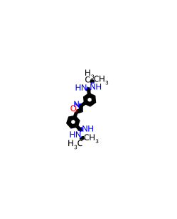 CC(C)NC(=N)c1cccc(-c2cc(-c3cccc(C(=N)NC(C)C)c3)on2)c1